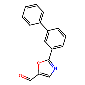 O=Cc1cnc(-c2cccc(-c3ccccc3)c2)o1